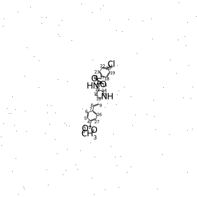 COC(=O)c1ccc(/C=C/[C@@H]2C[C@@H](NS(=O)(=O)c3ccc(Cl)cc3)CN2)cc1